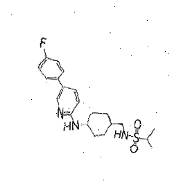 CC(C)S(=O)(=O)NC[C@H]1CC[C@H](Nc2ccc(-c3ccc(F)cc3)cn2)CC1